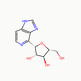 OC[C@H]1O[C@@H](c2nccc3[nH]cnc23)[C@@H](O)[C@@H]1O